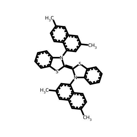 Cc1ccc2c(N3/C(=C4\Sc5ccccc5N4c4cc(C)cc5cc(C)ccc45)Sc4ccccc43)cc(C)cc2c1